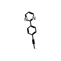 [CH2]C#Cc1ccc(-c2ncccn2)cc1